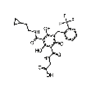 O=C(O)CNC(=O)c1c(O)c(C(=O)NCCC2CC2)c(O)n(Cc2ccccc2C(F)(F)F)c1=O